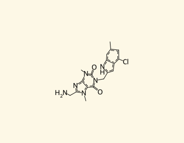 Cc1cc(Cl)c2cc(Cn3c(=O)c4c(nc(CN)n4C)n(C)c3=O)[nH]c2c1